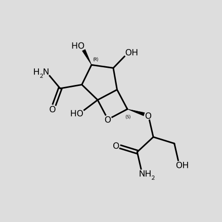 NC(=O)C(CO)O[C@H]1OC2(O)C1C(O)[C@H](O)C2C(N)=O